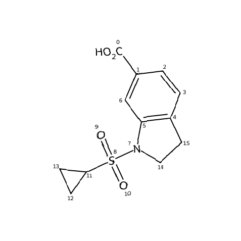 O=C(O)c1ccc2c(c1)N(S(=O)(=O)C1CC1)CC2